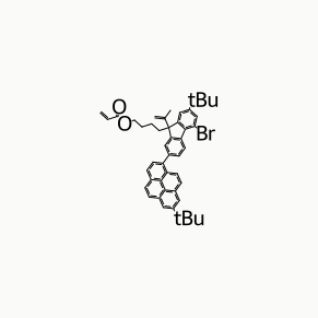 C=CC(=O)OCCCCC1(C(=C)C)c2cc(-c3ccc4ccc5cc(C(C)(C)C)cc6ccc3c4c56)ccc2-c2c(Br)cc(C(C)(C)C)cc21